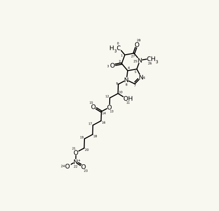 CC1C(=O)C2C(N=CN2CC(O)COC(=O)CCCCCO[N+](=O)[O-])N(C)C1=O